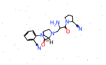 N#Cc1ccccc1N1C(=O)[C@@H]2CC1CN2CC(N)C(=O)N1CCCC1C#N